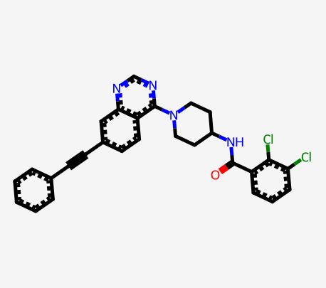 O=C(NC1CCN(c2ncnc3cc(C#Cc4ccccc4)ccc23)CC1)c1cccc(Cl)c1Cl